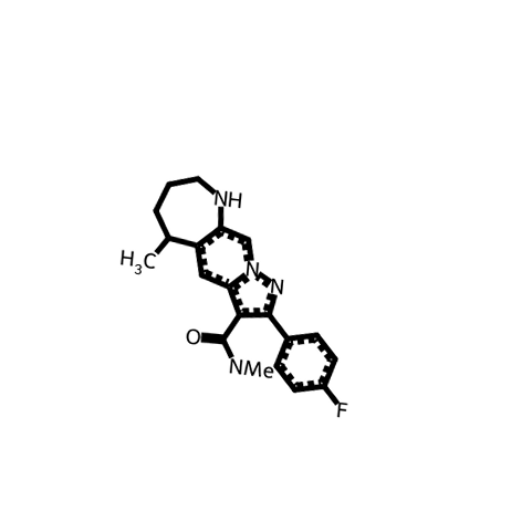 CNC(=O)c1c(-c2ccc(F)cc2)nn2cc3c(cc12)C(C)CCCN3